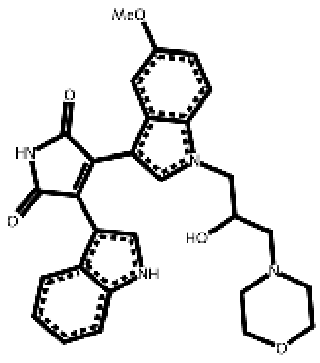 COc1ccc2c(c1)c(C1=C(c3c[nH]c4ccccc34)C(=O)NC1=O)cn2CC(O)CN1CCOCC1